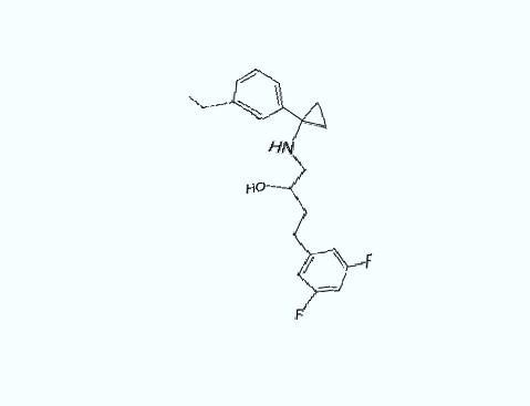 CCc1cccc(C2(NCC(O)CCc3cc(F)cc(F)c3)CC2)c1